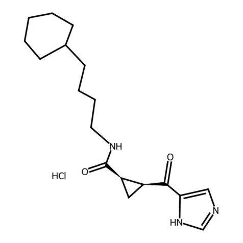 Cl.O=C(c1cnc[nH]1)[C@H]1C[C@H]1C(=O)NCCCCC1CCCCC1